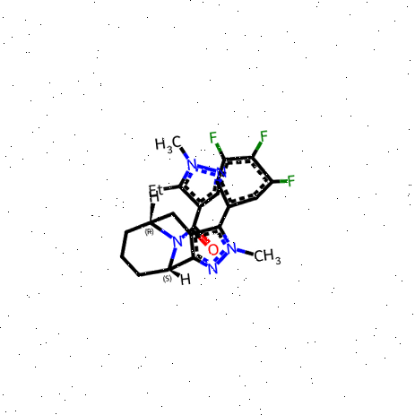 CCc1c(C(=O)N2[C@@H]3CCC[C@H]2c2nn(C)c(-c4cc(F)c(F)c(F)c4)c2C3)cnn1C